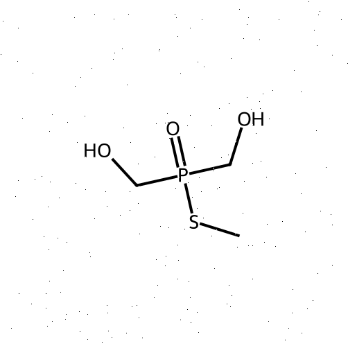 CSP(=O)(CO)CO